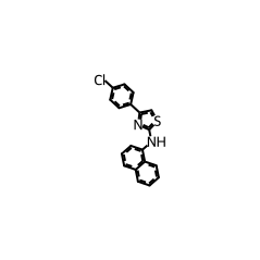 Clc1ccc(-c2csc(Nc3cccc4ccccc34)n2)cc1